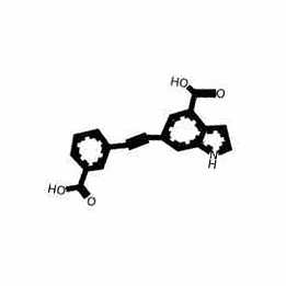 O=C(O)c1cccc(C#Cc2cc(C(=O)O)c3cc[nH]c3c2)c1